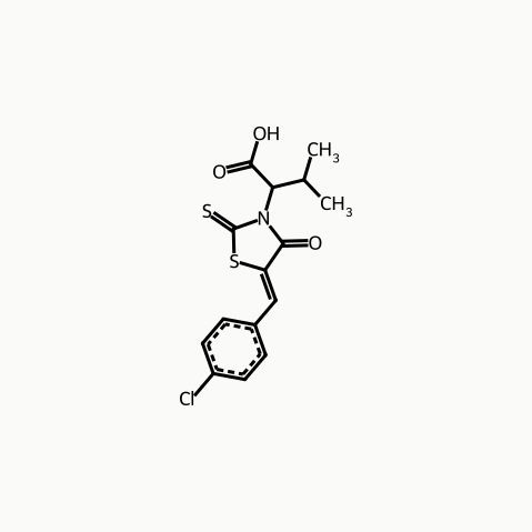 CC(C)C(C(=O)O)N1C(=O)/C(=C/c2ccc(Cl)cc2)SC1=S